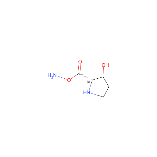 NOC(=O)[C@H]1NCCC1O